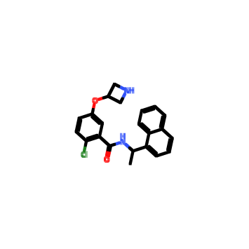 CC(NC(=O)c1cc(OC2CNC2)ccc1Cl)c1cccc2ccccc12